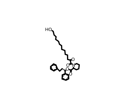 O=C(CCCCCCCCCCCCO)C(=O)N1CCCCC1C(=O)O[C@H](CCc1ccccc1)c1ccccc1